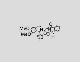 COc1cc2c(cc1OC)C(c1cccs1)N(C(=O)Cn1c(=O)[nH]c3ccccc3c1=O)CC2